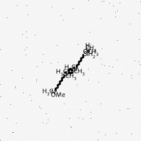 CON(C)CCCCCCCCCC[Si](C)(C)c1ccc([Si](C)(C)CCCCCCCC[SiH2]O[SiH](C)C)cc1